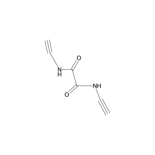 C#CNC(=O)C(=O)NC#C